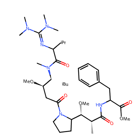 CC[C@H](C)[C@@H]([C@@H](CC(=O)N1CCCC1[C@H](OC)[C@@H](C)C(=O)NC(Cc1ccccc1)C(=O)OC)OC)N(C)C(=O)C(N=C(N(C)C)N(C)C)C(C)C